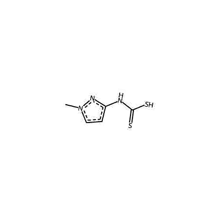 Cn1ccc(NC(=S)S)n1